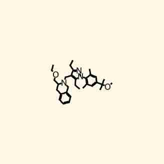 CCOCC1Cc2ccccc2CN1Cc1c(CC)nn(-c2c(C)cc(C(C)(C)OC)cc2C)c1CC